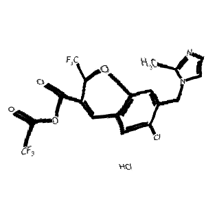 Cc1nccn1Cc1cc2c(cc1Cl)C=C(C(=O)OC(=O)C(F)(F)F)C(C(F)(F)F)O2.Cl